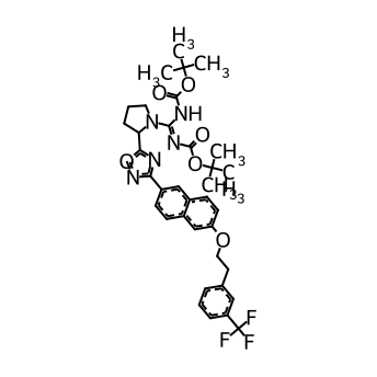 CC(C)(C)OC(=O)N=C(NC(=O)OC(C)(C)C)N1CCCC1c1nc(-c2ccc3cc(OCCc4cccc(C(F)(F)F)c4)ccc3c2)no1